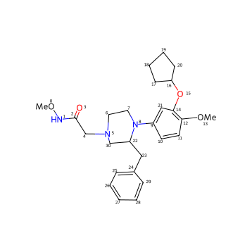 CONC(=O)CN1CCN(c2ccc(OC)c(OC3CCCC3)c2)C(Cc2ccccc2)C1